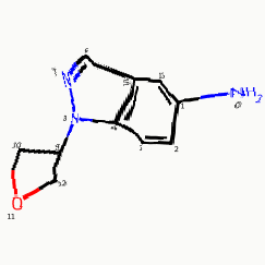 Nc1ccc2c(cnn2C2COC2)c1